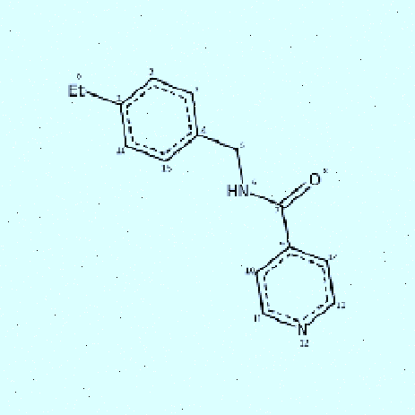 CCc1ccc(CNC(=O)c2ccncc2)cc1